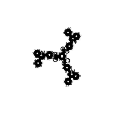 O=C(Oc1ccc(-c2cc(-c3ccccc3)c3ccccc3n2)cc1)C1CC(C(=O)Oc2ccc(-c3cc(-c4ccccc4)c4ccccc4n3)cc2)CC(C(=O)Oc2ccc(-c3cc(-c4ccccc4)c4ccccc4n3)cc2)C1